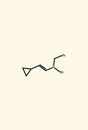 CC(C)CN(/C=C/C1CC1)C(C)C